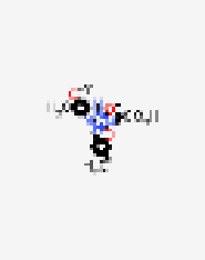 C=Cc1ccc(Cn2c(=O)n(C[C@H](C)C(=O)O)c(=O)[nH]/c2=N\c2ccc(OC(C)C)c(C)c2)cc1